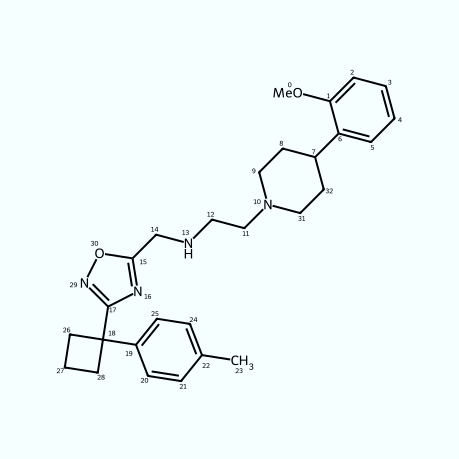 COc1ccccc1C1CCN(CCNCc2nc(C3(c4ccc(C)cc4)CCC3)no2)CC1